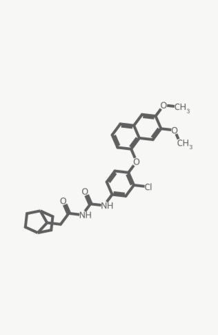 COc1cc2cccc(Oc3ccc(NC(=O)NC(=O)CC4C5CCC4CC5)cc3Cl)c2cc1OC